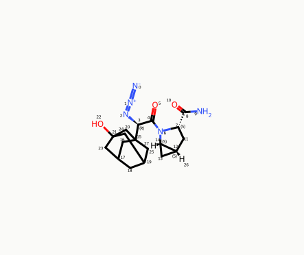 [N-]=[N+]=N[C@@H](C(=O)N1[C@H](C(N)=O)C[C@@H]2C[C@@H]21)C12CC3CC(CC(O)(C3)C1)C2